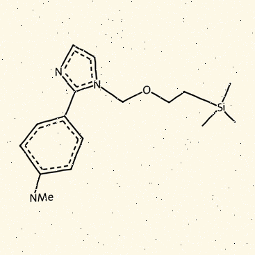 CNc1ccc(-c2nccn2COCC[Si](C)(C)C)cc1